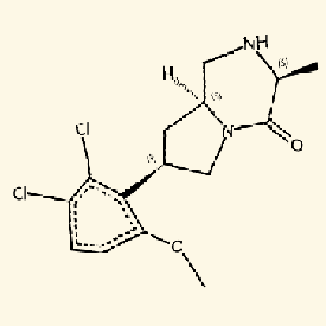 COc1ccc(Cl)c(Cl)c1[C@H]1C[C@H]2CN[C@@H](C)C(=O)N2C1